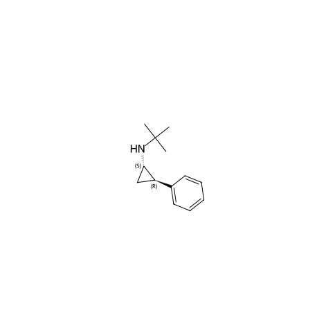 CC(C)(C)N[C@H]1C[C@@H]1c1ccccc1